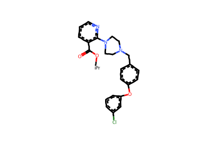 CC(C)OC(=O)c1cccnc1N1CCN(Cc2ccc(Oc3cccc(Cl)c3)cc2)CC1